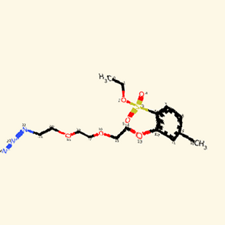 CCOS(=O)(=O)c1ccc(C)cc1OCCOCCOCCN=[N+]=[N-]